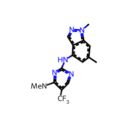 CNc1nc(Nc2cc(C)cc3c2cnn3C)ncc1C(F)(F)F